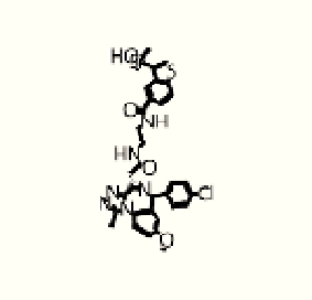 COc1ccc2c(c1)C(c1ccc(Cl)cc1)=N[C@@H](CC(=O)NCCNC(=O)c1ccc3scc([Si](C)(C)O)c3c1)c1nnc(C)n1-2